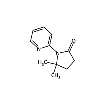 CC1(C)CCC(=O)N1c1ccccn1